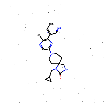 CN/C=C(\C=N)c1nc(N2CCC3(CC2)CNC(=O)N3CC2CC2)cnc1C#N